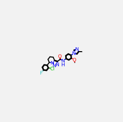 COc1cc(NC(=O)c2nnn3c2CCCC3c2ccc(F)cc2Cl)ccc1-n1cnc(C)c1